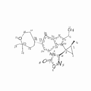 C[C@H]1C[C@]1(c1noc(=O)[nH]1)n1c(CO)cc2cc([C@H]3CCOC(C)(C)C3)ccc21